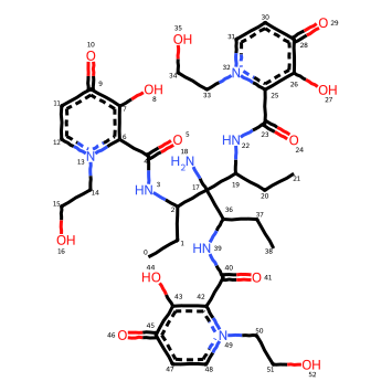 CCC(NC(=O)c1c(O)c(=O)ccn1CCO)C(N)(C(CC)NC(=O)c1c(O)c(=O)ccn1CCO)C(CC)NC(=O)c1c(O)c(=O)ccn1CCO